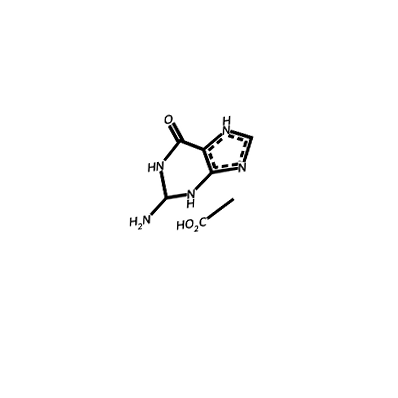 CC(=O)O.NC1NC(=O)c2[nH]cnc2N1